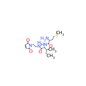 CC[C@H](C)[C@H](NC(=O)[C@@H](N)CCSC)C(=O)NCCN1C(=O)C=CC1=O